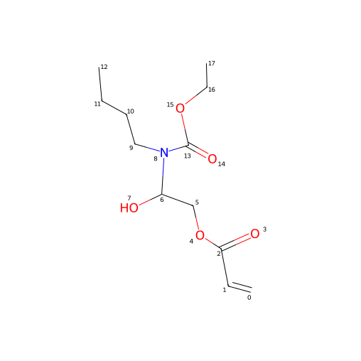 C=CC(=O)OCC(O)N(CCCC)C(=O)OCC